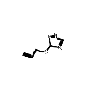 C=CCS[C]1N=CN=N1